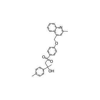 Cc1ccc(C(C)(O)CS(=O)(=O)c2ccc(OCc3cc(C)nc4ccccc34)cc2)cc1